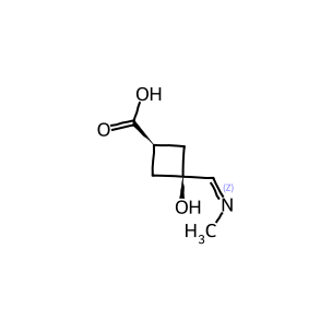 C/N=C\[C@]1(O)C[C@@H](C(=O)O)C1